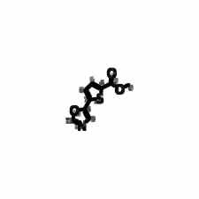 COC(=O)c1ccc(-c2cnco2)s1